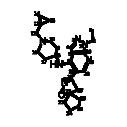 CCn1ncc2c(NC3CCN(CC4CC4)CC3)c(C3=NOC4(CCCC4)C3)cnc21